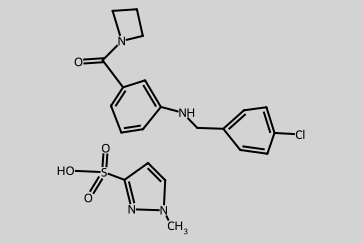 Cn1ccc(S(=O)(=O)O)n1.O=C(c1cccc(NCc2ccc(Cl)cc2)c1)N1CCC1